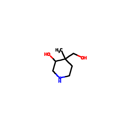 CC1(CO)CCNCC1O